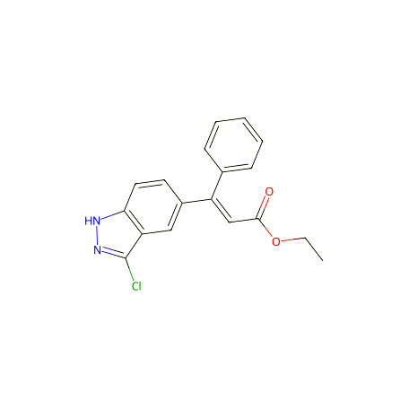 CCOC(=O)C=C(c1ccccc1)c1ccc2[nH]nc(Cl)c2c1